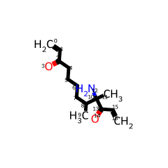 C=CC(=O)CCCCC(C)C(C)(N)C(=O)C=C